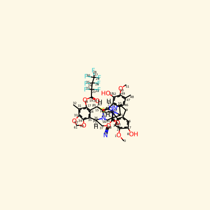 COc1cc2c(cc1O)CCN[C@]21CS[C@@H]2c3c(OC(=O)C(F)(F)C(F)(F)C(F)(F)F)c(C)c4c(c3[C@H](COC1=O)N1C2[C@H]2c3c(cc(C)c(OC)c3O)C3[C@@H]([C@@H]1C#N)N32)OCO4